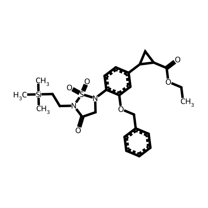 CCOC(=O)C1CC1c1ccc(N2CC(=O)N(CC[Si](C)(C)C)S2(=O)=O)c(OCc2ccccc2)c1